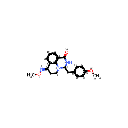 CON=C1CCN2c3c(cccc31)C(=O)NC2Cc1ccc(OC)cc1